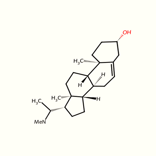 CNC(C)[C@H]1CC[C@H]2[C@@H]3CC=C4C[C@@H](O)CC[C@]4(C)[C@H]3CC[C@]12C